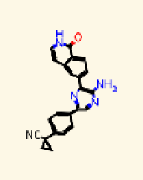 N#CC1(c2ccc(-c3cnc(N)c(-c4ccc5c(=O)[nH]ccc5c4)n3)cc2)CC1